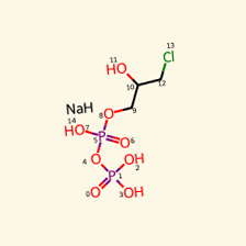 O=P(O)(O)OP(=O)(O)OCC(O)CCl.[NaH]